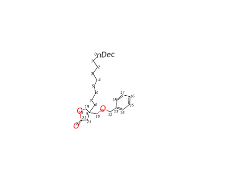 CCCCCCCCCCCCCCCCCCC1(COCc2ccccc2)COC(=O)C1